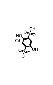 O=S(=O)(O)c1cc(O)c(S(=O)(=O)O)cc1O.[Cd]